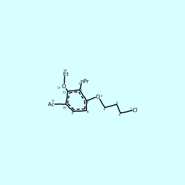 CCCc1c(OCCCCl)ccc(C(C)=O)c1OCC